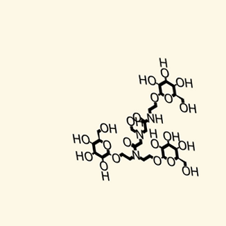 O=C(CN(CO)CC(=O)N(CCO[C@H]1O[C@H](CO)[C@@H](O)[C@H](O)[C@@H]1O)CCO[C@H]1O[C@H](CO)[C@@H](O)[C@H](O)[C@@H]1O)NCCO[C@@H]1O[C@H](CO)[C@@H](O)[C@H](O)[C@H]1O